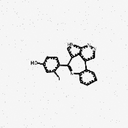 Oc1ccc(C2=Nc3ccccc3-c3cnnc4[nH]cc2c34)c(F)c1